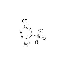 O=S(=O)([O-])c1cccc(C(F)(F)F)c1.[Ag+]